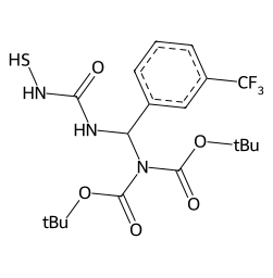 CC(C)(C)OC(=O)N(C(=O)OC(C)(C)C)C(NC(=O)NS)c1cccc(C(F)(F)F)c1